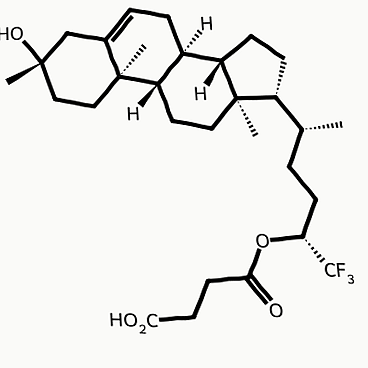 C[C@H](CC[C@@H](OC(=O)CCC(=O)O)C(F)(F)F)[C@H]1CC[C@H]2[C@@H]3CC=C4C[C@@](C)(O)CC[C@]4(C)[C@H]3CC[C@]12C